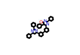 c1ccc(-c2cc(-c3cccc(-c4cccc(-c5nc(-c6ccccc6)nc6oc7ccccc7c56)c4)c3)nc(-c3ccccc3)n2)cc1